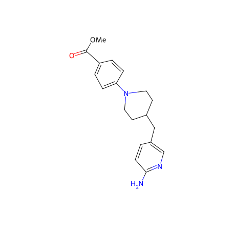 COC(=O)c1ccc(N2CCC(Cc3ccc(N)nc3)CC2)cc1